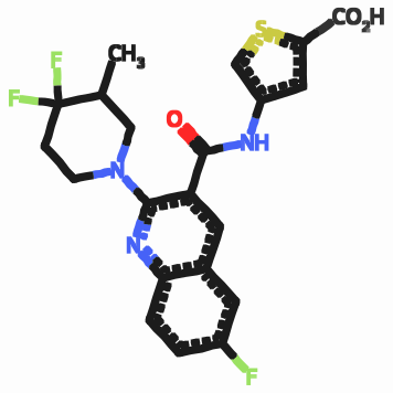 CC1CN(c2nc3ccc(F)cc3cc2C(=O)Nc2csc(C(=O)O)c2)CCC1(F)F